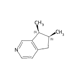 C[C@@H]1c2cnccc2C[C@@H]1C